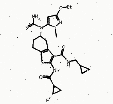 CCOc1cc(N(C(N)=S)[C@H]2CCc3sc(NC(=O)[C@H]4C[C@@H]4F)c(C(=O)NCC4CC4)c3C2)n(C)n1